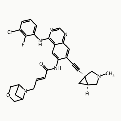 CN1C[C@H]2C[C@@]2(C#Cc2cc3ncnc(Nc4cccc(Cl)c4F)c3cc2NC(=O)/C=C/CN2C3COCC2C3)C1